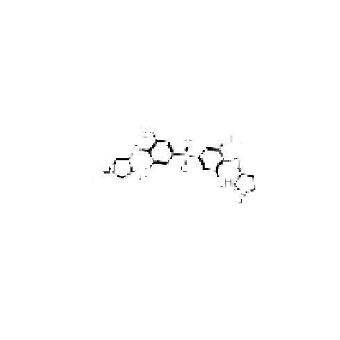 Cc1cc(S(=O)(=O)c2cc(C)c(OC3CCN(C)C3)c(C)c2)cc(C)c1OC1CCN(C)C1